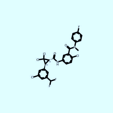 CN(C(=O)c1cc(NC(=O)[C@@H]2[C@@H](c3cc(Cl)cc(C(F)F)c3)C2(Cl)Cl)ccc1Cl)c1ccc(F)cc1